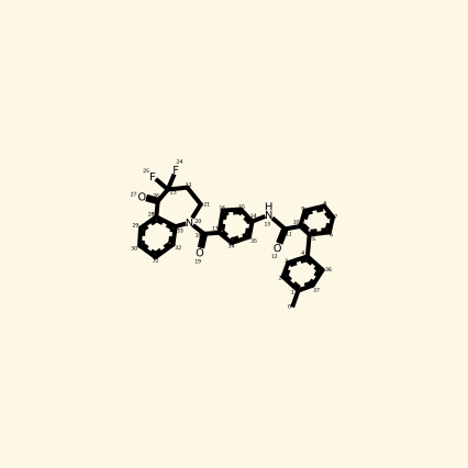 Cc1ccc(-c2ccccc2C(=O)Nc2ccc(C(=O)N3CCC(F)(F)C(=O)c4ccccc43)cc2)cc1